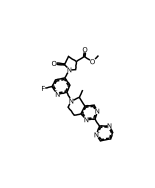 COC(=O)C1CC(=O)N(c2cc(F)nc(N3CCc4nc(-c5ncccn5)ncc4C3C)c2)C1